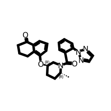 C[C@@H]1CC[C@@H](Oc2cccc3c2CCCC3=O)CN1C(=O)c1ccccc1-n1nccn1